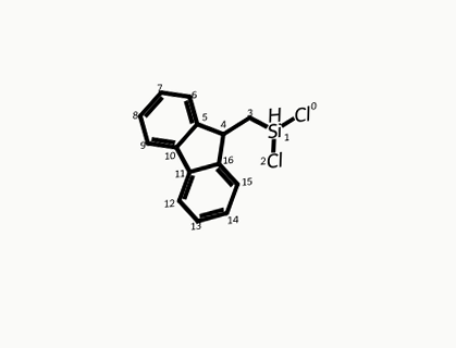 Cl[SiH](Cl)CC1c2ccccc2-c2ccccc21